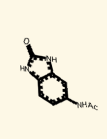 [CH2]C(=O)Nc1ccc2[nH]c(=O)[nH]c2c1